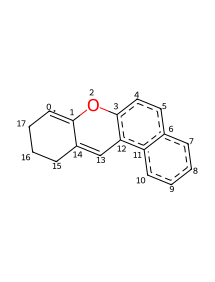 [C]1=C2Oc3ccc4ccccc4c3C=C2CCC1